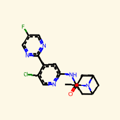 CC1CC2CC(C1)N2C(=O)Nc1cc(-c2ncc(F)cn2)c(Cl)cn1